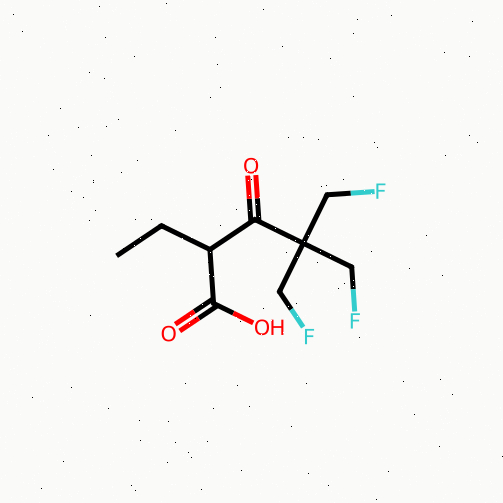 CCC(C(=O)O)C(=O)C(CF)(CF)CF